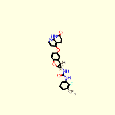 O=C1CCc2c(Oc3ccc4c(c3)[C@@H]3C(O4)[C@H]3NC(=O)Nc3cccc(C(F)(F)F)c3F)ccnc2N1